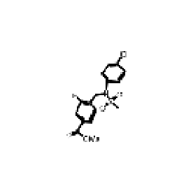 COC(=O)c1ccc(CN(c2ccc(Cl)cc2)S(C)(=O)=O)c(F)c1